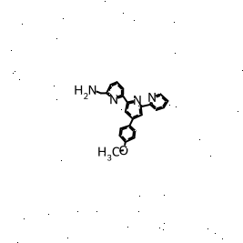 COc1ccc(-c2cc(-c3ccccn3)nc(-c3cccc(CN)n3)c2)cc1